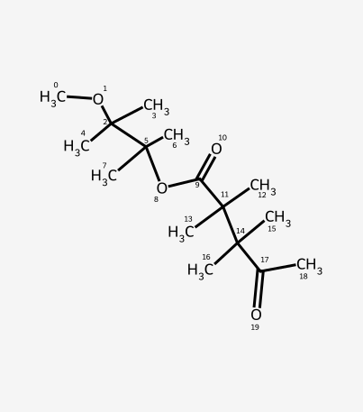 COC(C)(C)C(C)(C)OC(=O)C(C)(C)C(C)(C)C(C)=O